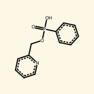 O=P(O)(OCc1ccccn1)c1ccccc1